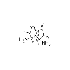 C=CC(=O)N(C(C)(N)CC)C(C)(N)CC